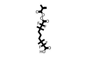 C=C(C)C(=O)OOC(=O)C(F)(F)C(C)(C)CCCC(C)(C)C(F)(F)C(=O)O